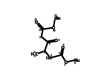 CC(NC(=O)OC(C)(C)C)C(=O)CC(=O)OC(C)(C)C